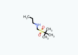 CCCNCS(=O)(=O)C(C)(C)C